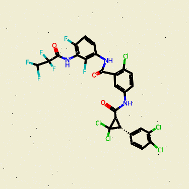 O=C(Nc1ccc(F)c(NC(=O)C(F)(F)C(F)F)c1F)c1cc(NC(=O)C2[C@H](c3ccc(Cl)c(Cl)c3)C2(Cl)Cl)ccc1Cl